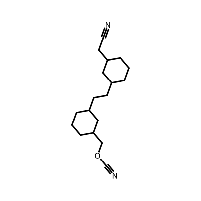 N#CCC1CCCC(CCC2CCCC(COC#N)C2)C1